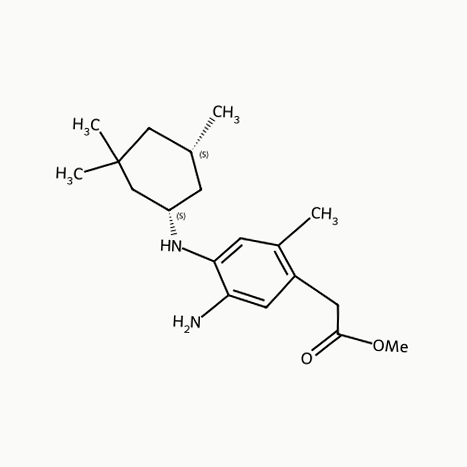 COC(=O)Cc1cc(N)c(N[C@H]2C[C@@H](C)CC(C)(C)C2)cc1C